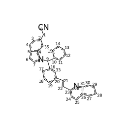 N#CCc1ccc2ccn(C(c3ccccc3)c3cccc(C=Cc4ccc5ccccc5n4)c3)c2c1